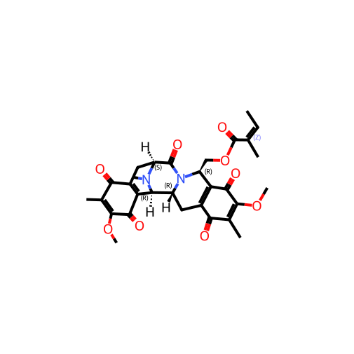 C/C=C(/C)C(=O)OC[C@H]1C2=C(C[C@@H]3[C@H]4C5=C(C[C@@H](C(=O)N31)N4C)C(=O)C(C)=C(OC)C5=O)C(=O)C(C)=C(OC)C2=O